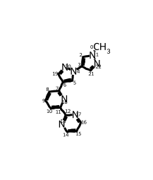 Cn1cc(-n2cc(-c3cccc(-c4ncccn4)n3)cn2)cn1